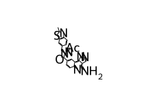 CC(=O)N(C)N(Cc1ccc2nc(C)sc2c1)C(=O)c1ccc2nc(N)c3cnn(C)c3c2c1